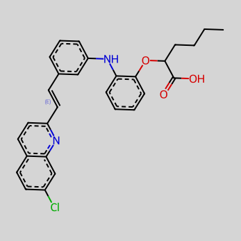 CCCCC(Oc1ccccc1Nc1cccc(/C=C/c2ccc3ccc(Cl)cc3n2)c1)C(=O)O